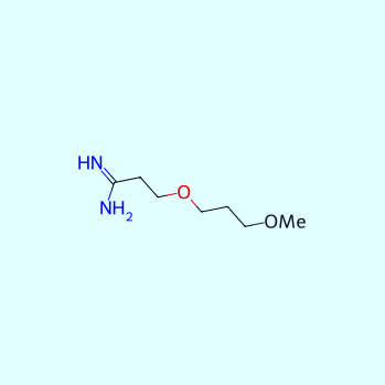 COCCCOCCC(=N)N